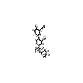 N#Cc1nc(-c2ccc(S(=O)(=O)NC3CCS(=O)(=O)C3)cc2Cl)ccc1F